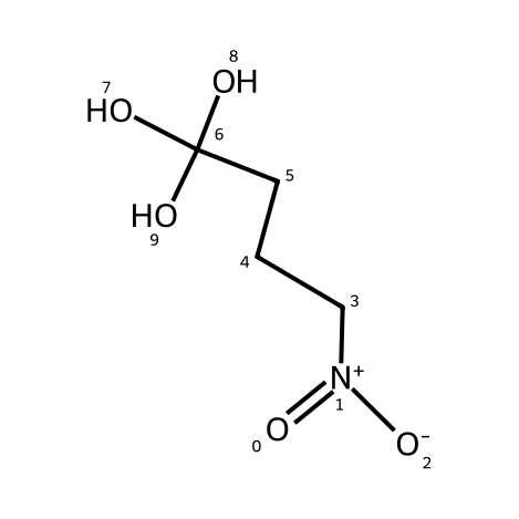 O=[N+]([O-])CCCC(O)(O)O